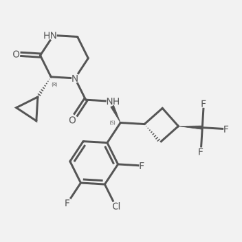 O=C1NCCN(C(=O)N[C@H](c2ccc(F)c(Cl)c2F)[C@H]2C[C@H](C(F)(F)F)C2)[C@@H]1C1CC1